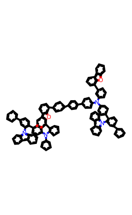 c1ccc(-c2ccc(-c3ccc(N(c4ccc(-c5ccc(-c6ccc(-c7cccc8c7oc7c(-c9ccccc9N(c9ccccc9)c9ccc(-c%10ccc(-c%11ccccc%11)cc%10-n%10c%11ccccc%11c%11ccccc%11%10)cc9)cccc78)cc6)cc5)cc4)c4cccc(-c5cccc6c5oc5ccccc56)c4)cc3)c(-n3c4ccccc4c4ccccc43)c2)cc1